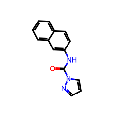 O=C(Nc1ccc2ccccc2c1)n1cccn1